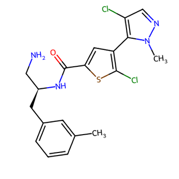 Cc1cccc(C[C@@H](CN)NC(=O)c2cc(-c3c(Cl)cnn3C)c(Cl)s2)c1